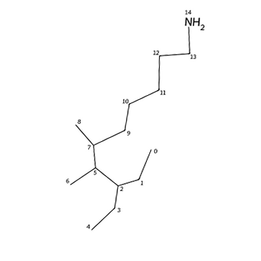 CCC(CC)C(C)C(C)CCCCCN